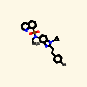 CCOC(=O)CN(c1ccc2c(c1)nc(CCc1ccc(C#N)cc1)n2C1CC1)S(=O)(=O)c1cccc2cccnc12